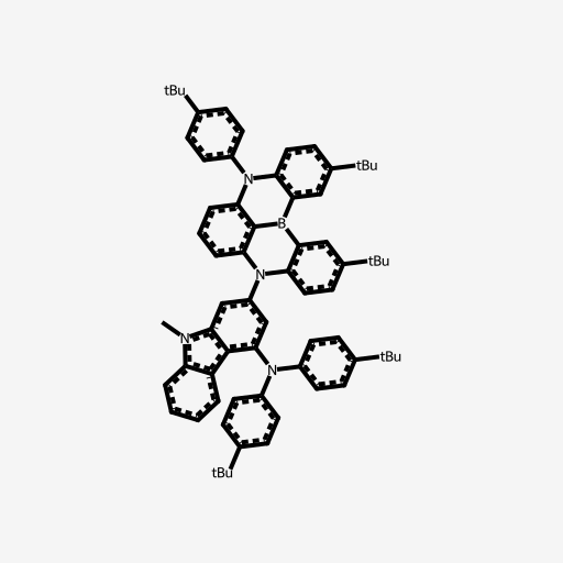 Cn1c2ccccc2c2c(N(c3ccc(C(C)(C)C)cc3)c3ccc(C(C)(C)C)cc3)cc(N3c4ccc(C(C)(C)C)cc4B4c5cc(C(C)(C)C)ccc5N(c5ccc(C(C)(C)C)cc5)c5cccc3c54)cc21